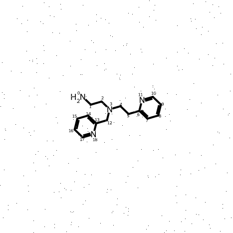 NCCN(CCc1ccccn1)Cc1ccccn1